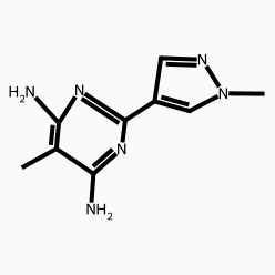 Cc1c(N)nc(-c2cnn(C)c2)nc1N